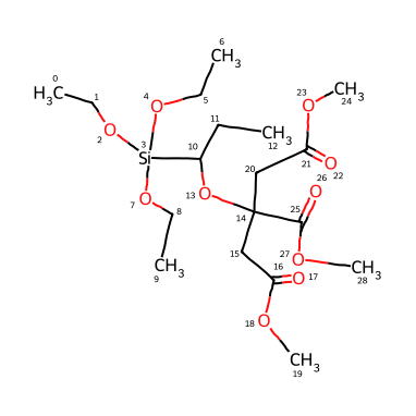 CCO[Si](OCC)(OCC)C(CC)OC(CC(=O)OC)(CC(=O)OC)C(=O)OC